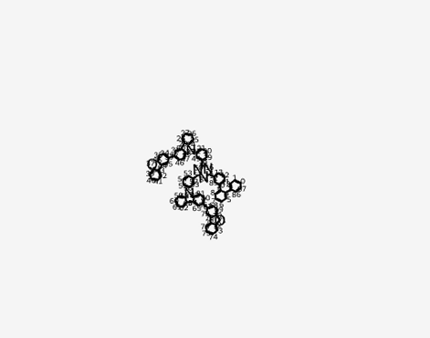 c1ccc(-c2ccccc2-c2cccc(-c3nc(-c4cccc(-n5c6ccccc6c6cc(-c7ccc8oc9ccccc9c8c7)ccc65)c4)nc(-c4cccc(-n5c6ccccc6c6cc(-c7ccc8oc9ccccc9c8c7)ccc65)c4)n3)c2)cc1